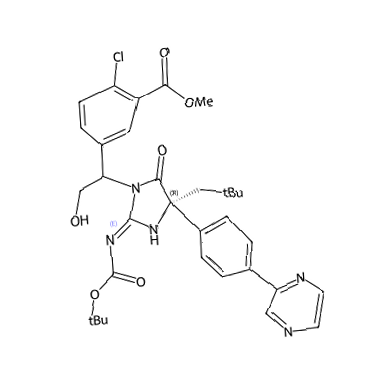 COC(=O)c1cc(C(CO)N2C(=O)[C@@](CC(C)(C)C)(c3ccc(-c4cnccn4)cc3)N/C2=N\C(=O)OC(C)(C)C)ccc1Cl